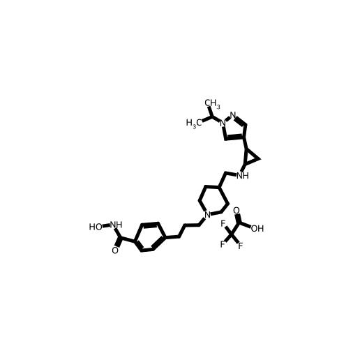 CC(C)n1cc(C2CC2NCC2CCN(CCCc3ccc(C(=O)NO)cc3)CC2)cn1.O=C(O)C(F)(F)F